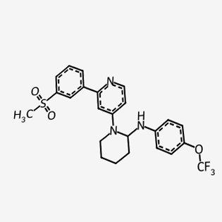 CS(=O)(=O)c1cccc(-c2cc(N3CCCCC3Nc3ccc(OC(F)(F)F)cc3)ccn2)c1